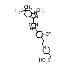 Cn1nc(-c2nc(-c3ccc(CCN4CCC(CC(=O)O)CC4)c(C(F)(F)F)c3)no2)c2c1CC(C)(C)CC2